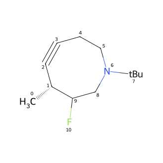 C[C@@H]1C#CCCN(C(C)(C)C)CC1F